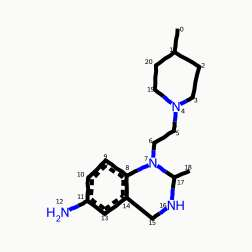 CC1CCN(CCN2c3ccc(N)cc3CNC2C)CC1